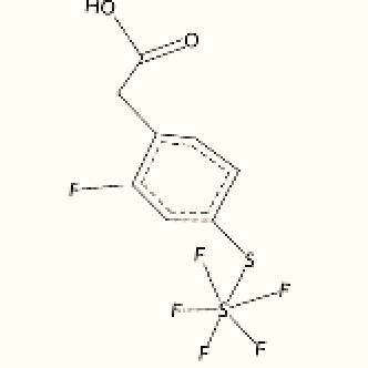 O=C(O)Cc1ccc(SS(F)(F)(F)(F)F)cc1F